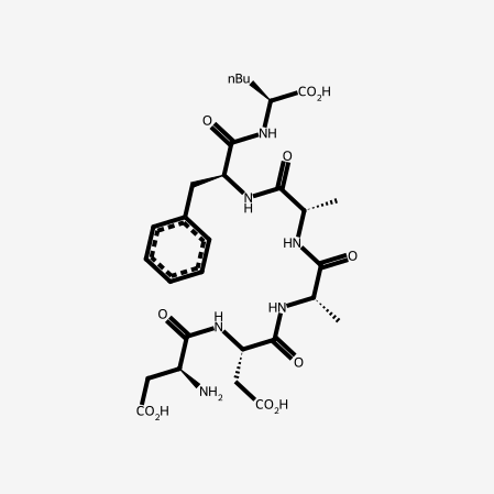 CCCC[C@H](NC(=O)[C@H](Cc1ccccc1)NC(=O)[C@H](C)NC(=O)[C@H](C)NC(=O)[C@H](CC(=O)O)NC(=O)[C@@H](N)CC(=O)O)C(=O)O